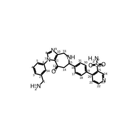 NCc1cccc(-n2cnc3c2C(=O)CC(c2ccc(-c4ccncc4S(N)(=O)=O)cc2)NC3)c1